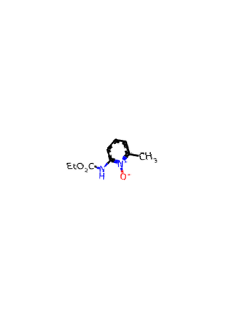 CCOC(=O)Nc1cccc(C)[n+]1[O-]